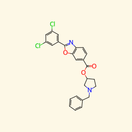 O=C(OC1CCN(Cc2ccccc2)C1)c1ccc2nc(-c3cc(Cl)cc(Cl)c3)oc2c1